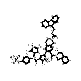 Cc1c(N(C(=O)c2cc(-c3cc4c(cc3C(=O)N3Cc5ccccc5C[C@H]3C)CN(C(=O)OCC3c5ccccc5-c5ccccc53)CC4)n(C)c2C)c2ccc(O[Si](C)(C)C(C)(C)C)cc2)cc(C#N)n1C